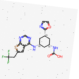 O=C(O)N[C@@H]1C[C@H](Nc2ncnc3sc(CC(F)(F)F)cc23)C[C@H](c2ncco2)C1